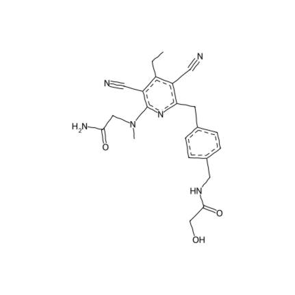 CCc1c(C#N)c(Cc2ccc(CNC(=O)CO)cc2)nc(N(C)CC(N)=O)c1C#N